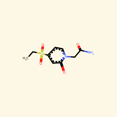 CCS(=O)(=O)c1ccn(CC(N)=O)c(=O)c1